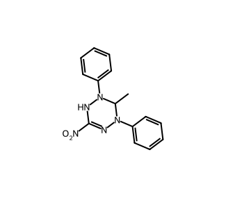 CC1N(c2ccccc2)N=C([N+](=O)[O-])NN1c1ccccc1